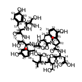 CC(C)[C@H](NC(=O)[C@H](CO)NC(=O)[C@H](CC(=O)O)NC(=O)[C@@H]1CCCN1C(=O)[C@H](Cc1ccc(O)cc1)NC(=O)[C@H](Cc1ccc(O)cc1)NC(=O)[C@@H](NC(=O)[C@H](Cc1ccc(O)cc1)NC(=O)[C@@H](N)CO)[C@@H](C)O)C(=O)O